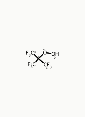 OOC(C(F)(F)F)(C(F)(F)F)C(F)(F)F